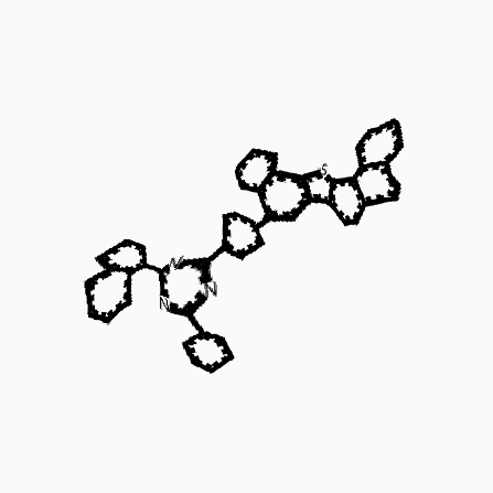 c1ccc(-c2nc(-c3ccc(-c4cc5c6ccc7ccc8ccccc8c7c6sc5c5ccccc45)cc3)nc(-c3cccc4ccccc34)n2)cc1